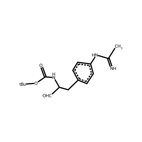 CC(=N)Nc1ccc(CC([C]=O)NC(=O)OC(C)(C)C)cc1